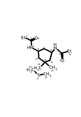 CCC(=O)NC1CC(NC(=O)CC)CC(C)(C)C1.[CH3][Ti][CH3]